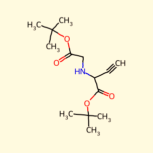 C#CC(NCC(=O)OC(C)(C)C)C(=O)OC(C)(C)C